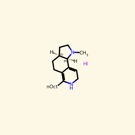 CCCCCCCCC1=C2CC[C@H]3CCN(C)[C@H]3C2=CCN1.I